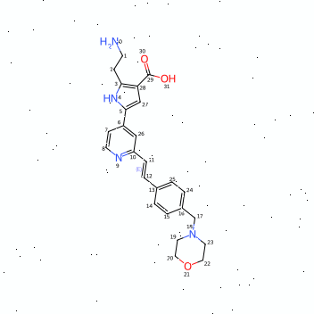 NCCc1[nH]c(-c2ccnc(/C=C/c3ccc(CN4CCOCC4)cc3)c2)cc1C(=O)O